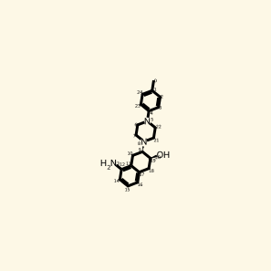 Cc1ccc(N2CCN([C@H]3Cc4c(N)cccc4C[C@@H]3O)CC2)cc1